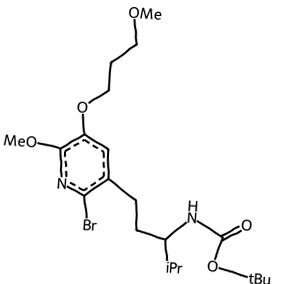 COCCCOc1cc(CCC(NC(=O)OC(C)(C)C)C(C)C)c(Br)nc1OC